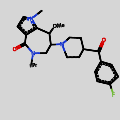 CCCN1CC(N2CCC(C(=O)c3ccc(F)cc3)CC2)C(OC)c2c(ccn2C)C1=O